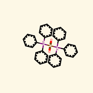 O=S(=O)([PH](c1ccccc1)(c1ccccc1)c1ccccc1)[PH](c1ccccc1)(c1ccccc1)c1ccccc1